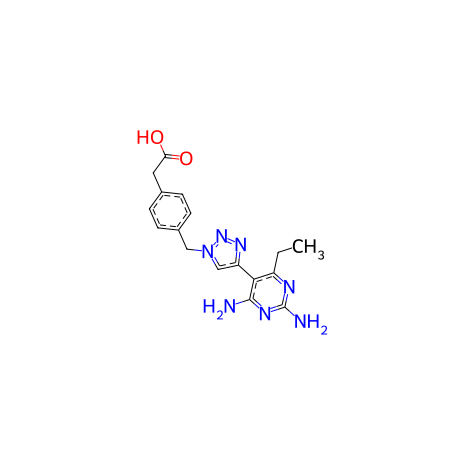 CCc1nc(N)nc(N)c1-c1cn(Cc2ccc(CC(=O)O)cc2)nn1